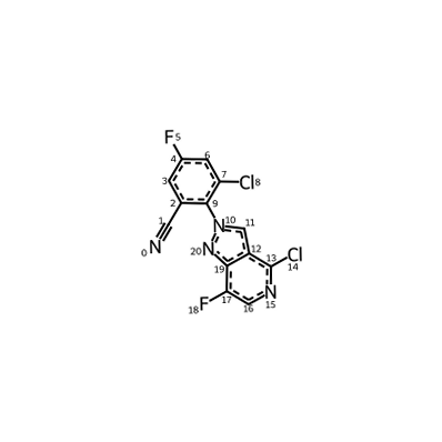 N#Cc1cc(F)cc(Cl)c1-n1cc2c(Cl)ncc(F)c2n1